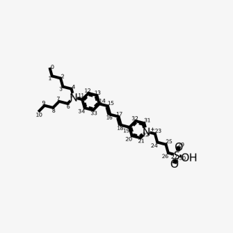 CCCCCN(CCCCC)c1ccc(/C=C/C=C/c2cc[n+](CCCCS(=O)(=O)O)cc2)cc1